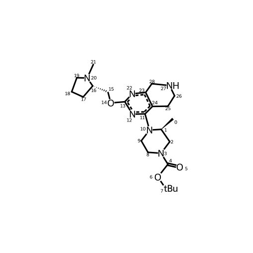 C[C@H]1CN(C(=O)OC(C)(C)C)CCN1c1nc(OC[C@@H]2CCCN2C)nc2c1CCNC2